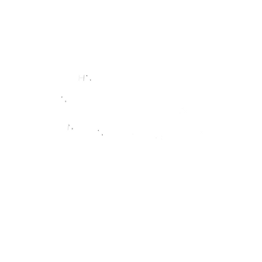 CC1CCC(S(=O)(=O)C[C@H]2C[C@@H](N(C)c3ncnc4[nH]ccc34)C2)C1